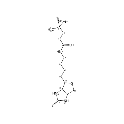 CC1(CCC(=O)NCCCCC2SCC3NC(=O)NC32)N=N1